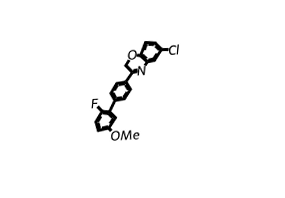 COc1ccc(F)c(-c2ccc(C3=Nc4cc(Cl)ccc4OC3)cc2)c1